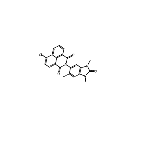 Cc1cc2c(cc1N1C(=O)c3cccc4c(Cl)ccc(c34)C1=O)n(C)c(=O)n2C